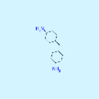 N[C@H]1CC[C@@H](C[C@H]2CC[C@@H](N)CC2)CC1